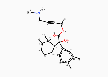 CCN(CC)CC#CC(C)OC(=O)C(O)(c1ccc(C)c(C)c1)C1CCCC(C)C1(C)C